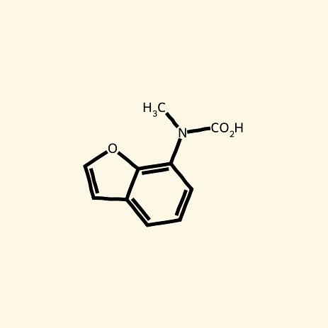 CN(C(=O)O)c1cccc2ccoc12